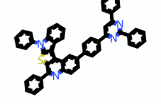 c1ccc(-c2cc(-c3ccc(-c4ccc5nc(-c6ccccc6)c6sc7c(c8ccccc8n7-c7ccccc7)c6c5c4)cc3)nc(-c3ccccc3)n2)cc1